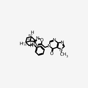 Cn1cnc2ncn(Cc3nc([C@H]4[C@@H]5C[C@H]4CN(c4ccccc4)C5)no3)c(=O)c21